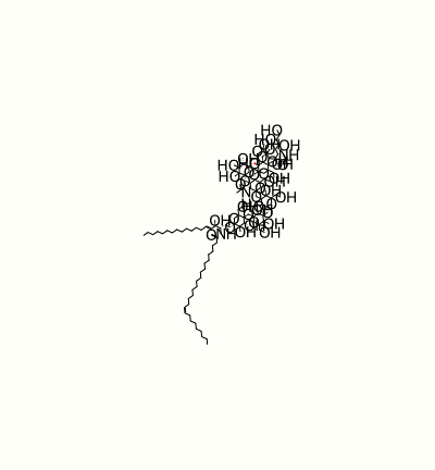 CCCCCCCC/C=C\CCCCCCCCCCCCCCCC(=O)N[C@@H](CO[C@@H]1OC(CO)[C@@H](O[C@@H]2OC(CO)[C@H](O)[C@H](O[C@H]3OC(CO)[C@H](O)[C@H](O[C@@H]4OC(CO)[C@@H](O[C@@H]5OC(CO)[C@H](O)[C@H](O[C@]6(C(=O)O)CC(O)[C@@H](NC(C)=O)C([C@H](O)[C@H](O)CO)O6)C5O)[C@H](O[C@H]5OC(C)[C@@H](O)C(O)[C@@H]5O)C4NC(C)=O)C3O)C2O)[C@H](O)C1O)[C@H](O)/C=C/CCCCCCCCCCCCC